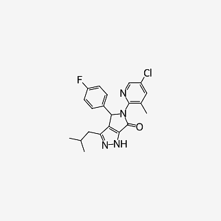 Cc1cc(Cl)cnc1N1C(=O)c2[nH]nc(CC(C)C)c2C1c1ccc(F)cc1